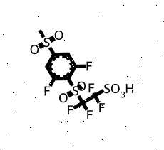 CS(=O)(=O)c1cc(F)c(S(=O)(=O)C(F)(F)C(F)(F)S(=O)(=O)O)c(F)c1